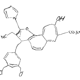 CCOC(=O)c1cc2ccc3c(c2cc1O)OC(n1cccc1)=C(C#N)C3c1ccc(Cl)c(Cl)c1